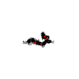 CC(=O)N1CCc2c(c(N3CCCc4cc(-c5cnn(C)c5)c(C(F)F)cc43)nn2C2CCN(C(=O)C3CCN(c4ncc(C(=O)NC5C(C)(C)C(Oc6ccc(C#N)c(Cl)c6)C5(C)C)cn4)CC3)CC2)C1